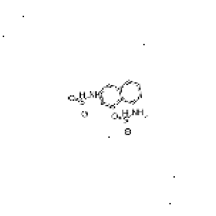 N[SH](=O)=O.N[SH](=O)=O.c1ccc2ccccc2c1